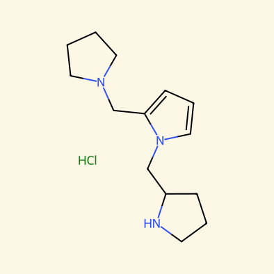 Cl.c1cc(CN2CCCC2)n(CC2CCCN2)c1